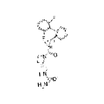 N[S+]([O-])NC[C@@H]1CCN1C(=O)[C@@H]1C[C@H]1c1ccccc1-c1c(F)cccc1F